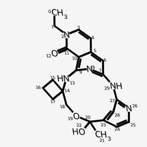 CCn1ccc2cc3nc(c2c1=O)NC1(CCC1)COC(C)(O)c1ccnc(c1)N3